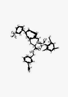 Cc1cc(C)c(S(=O)(=O)N2Cc3ccc(-c4cccc(S(C)(=O)=O)c4)cc3CC2C(=O)NCc2cccc(C#N)c2)c(C)c1